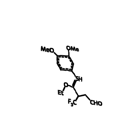 CCOC(=[SH]c1ccc(OC)c(OC)c1)C(CC=O)C(F)(F)F